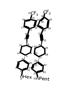 CCCCCCc1ccc([C@H]2CC[C@H](C#Cc3ccc(C(F)(F)F)cc3)CC2)cc1.CCCCCc1ccc([C@H]2CC[C@H](C#Cc3ccc(C(F)(F)F)cc3)CC2)cc1